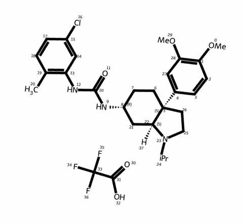 COc1ccc([C@@]23CC[C@@H](NC(=O)Nc4cc(Cl)ccc4C)C[C@@H]2N(C(C)C)CC3)cc1OC.O=C(O)C(F)(F)F